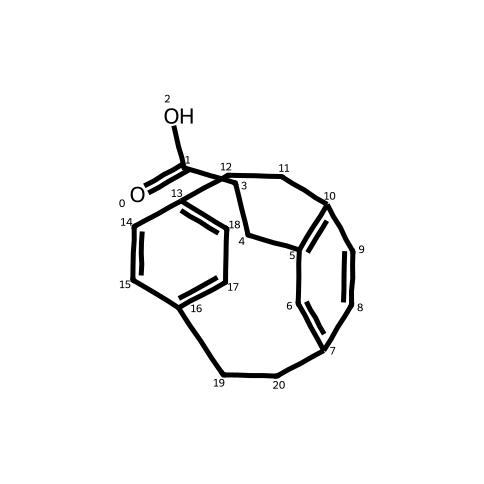 O=C(O)CCc1cc2ccc1CCc1ccc(cc1)CC2